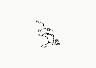 CC(O)CO.CCCCOCCCC.COCC(C)OC